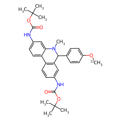 CN1c2cc(NC(=O)OC(C)(C)C)ccc2-c2ccc(NC(=O)OC(C)(C)C)cc2C1c1ccc(O[11CH3])cc1